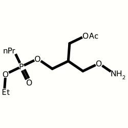 CCCP(=O)(OCC)OCC(CON)COC(C)=O